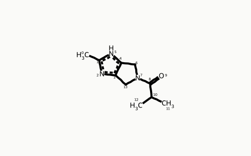 Cc1nc2c([nH]1)CN(C(=O)C(C)C)C2